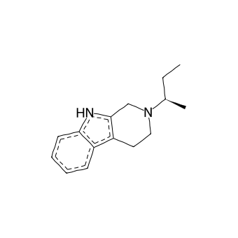 CC[C@@H](C)N1CCc2c([nH]c3ccccc23)C1